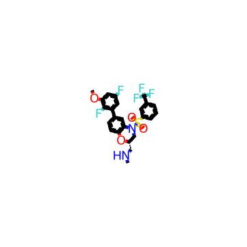 CNC[C@H]1CN(S(=O)(=O)c2cccc(C(F)(F)F)c2)c2cc(-c3cc(F)cc(OC)c3F)ccc2O1